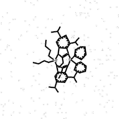 CCC[CH2][Hf]1([CH2]CCC)[CH]2C(CC)=C(c3c(C(C)C)cc(C(C)C)cc32)[Si](c2ccccc2)(c2ccccc2)C2=C(CC)[CH]1c1cc(C(C)C)cc(C(C)C)c12